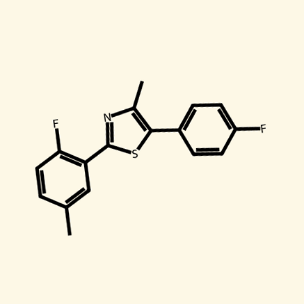 Cc1ccc(F)c(-c2nc(C)c(-c3ccc(F)cc3)s2)c1